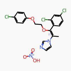 C/C(=C(/OCCOc1ccc(Cl)cc1)c1ccc(Cl)cc1Cl)n1ccnc1.O=[N+]([O-])O